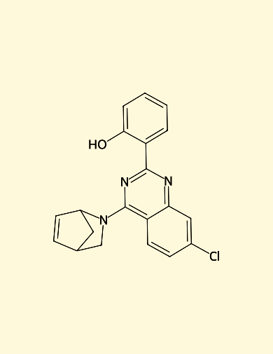 Oc1ccccc1-c1nc(N2CC3C=CC2C3)c2ccc(Cl)cc2n1